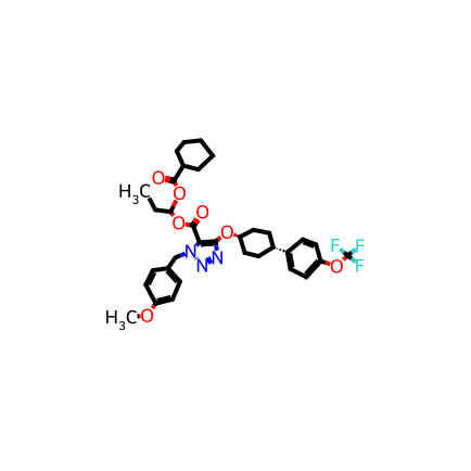 CCC(OC(=O)c1c(O[C@H]2CC[C@H](c3ccc(OC(F)(F)F)cc3)CC2)nnn1Cc1ccc(OC)cc1)OC(=O)C1CCCCC1